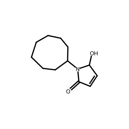 O=C1C=CC(O)N1C1CCCCCCC1